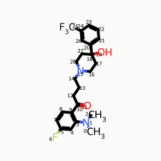 CN(C)c1cc(F)ccc1C(=O)CCCN1CCC(O)(c2cccc(C(F)(F)F)c2)CC1